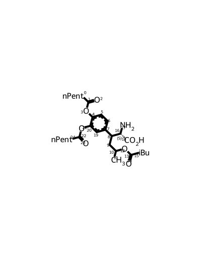 CCCCCC(=O)Oc1ccc(C(CC(C)OC(=O)C(C)CC)[C@H](N)C(=O)O)cc1OC(=O)CCCCC